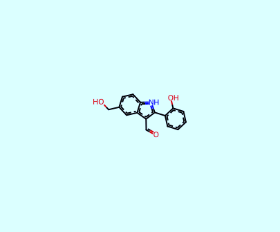 O=Cc1c(-c2ccccc2O)[nH]c2ccc(CO)cc12